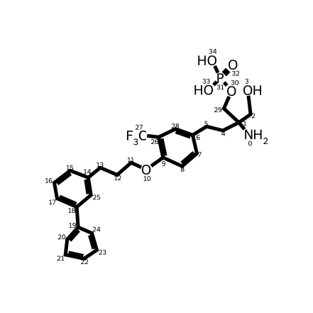 NC(CO)(CCc1ccc(OCCCc2cccc(-c3ccccc3)c2)c(C(F)(F)F)c1)COP(=O)(O)O